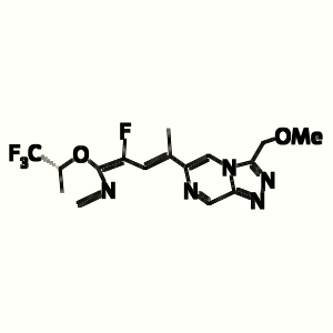 C=N/C(O[C@H](C)C(F)(F)F)=C(F)\C=C(/C)c1cn2c(COC)nnc2cn1